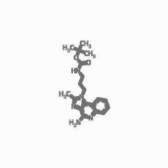 Cc1nc2c(N)nc3ccccc3c2n1CCCNC(=O)OC(C)(C)C